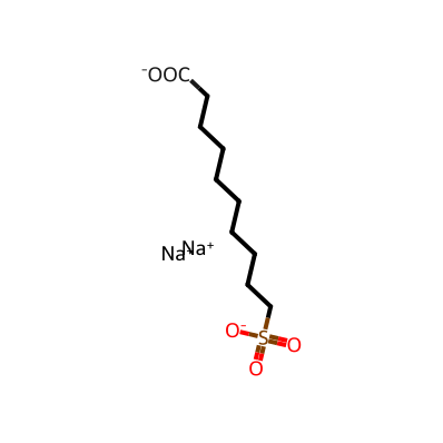 O=C([O-])CCCCCCCCCS(=O)(=O)[O-].[Na+].[Na+]